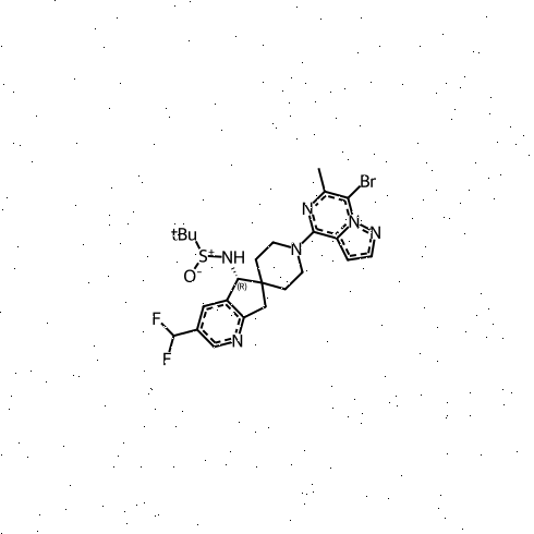 Cc1nc(N2CCC3(CC2)Cc2ncc(C(F)F)cc2[C@@H]3N[S+]([O-])C(C)(C)C)c2ccnn2c1Br